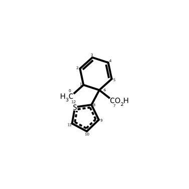 CC1C=CC=CC1(C(=O)O)c1cccs1